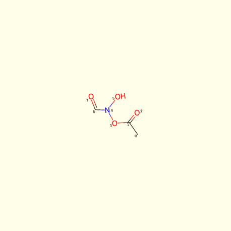 CC(=O)ON(O)C=O